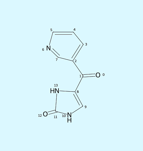 O=C(c1cccnc1)c1c[nH]c(=O)[nH]1